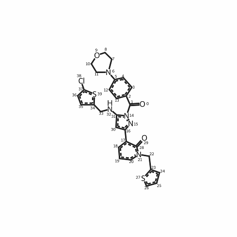 O=C(c1ccc(N2CCOCC2)cc1)n1nc(-c2cccn(Cc3cccs3)c2=O)cc1NCc1ccc(Cl)s1